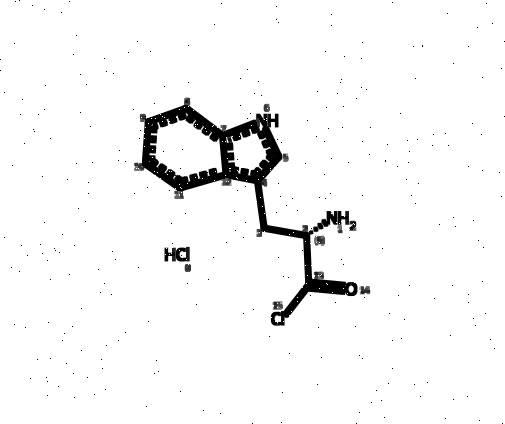 Cl.N[C@@H](Cc1c[nH]c2ccccc12)C(=O)Cl